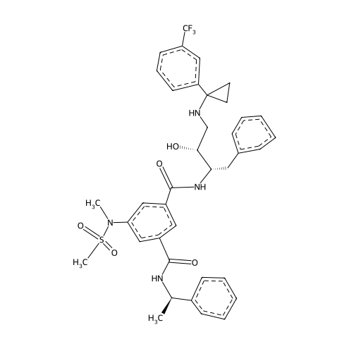 C[C@@H](NC(=O)c1cc(C(=O)N[C@@H](Cc2ccccc2)[C@H](O)CNC2(c3cccc(C(F)(F)F)c3)CC2)cc(N(C)S(C)(=O)=O)c1)c1ccccc1